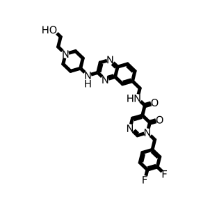 O=C(NCc1ccc2ncc(NC3CCN(CCO)CC3)nc2c1)c1cncn(Cc2ccc(F)c(F)c2)c1=O